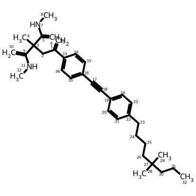 C=C(CC(C)(C(=C)NC)C(=C)NC)c1ccc(C#Cc2ccc(CCCCC(C)(C)CCC)cc2)cc1